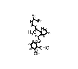 CCC(/N=C\C=C(/C)c1ncccc1COc1cccc(O)c1C=O)C(C)C